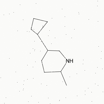 CC1CCC(C2CCC2)CN1